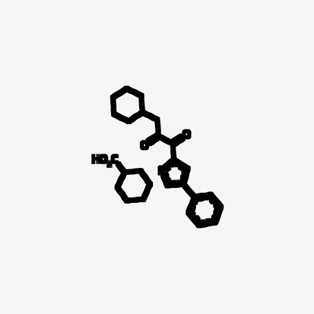 O=C(CC1CCCCC1)C(=O)c1cc(-c2ccccc2)cs1.O=C(O)C1CCCCC1